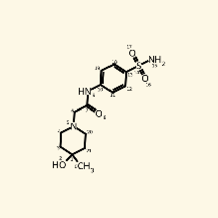 CC1(O)CCN(CC(=O)Nc2ccc(S(N)(=O)=O)cc2)CC1